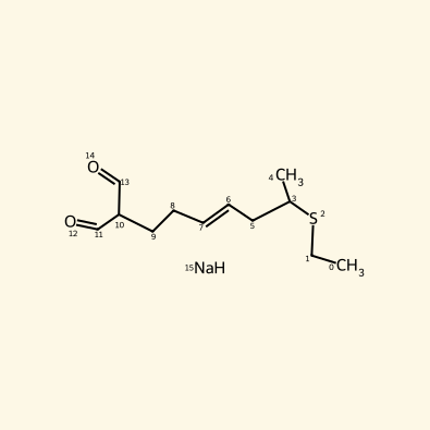 CCSC(C)CC=CCCC(C=O)C=O.[NaH]